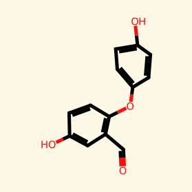 O=Cc1cc(O)ccc1Oc1ccc(O)cc1